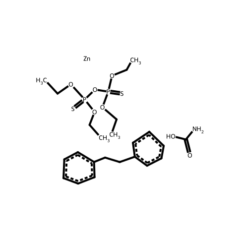 CCOP(=S)(OCC)OP(=S)(OCC)OCC.NC(=O)O.[Zn].c1ccc(CCc2ccccc2)cc1